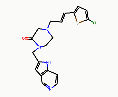 O=C1CN(C/C=C/c2ccc(Cl)s2)CCN1Cc1cc2cnccc2[nH]1